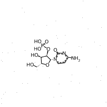 Nc1ccn([C@@H]2O[C@H](CO)[C@@H](O)[C@H]2OP(=O)(O)O)c(=O)n1